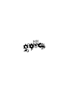 CC(=O)N1CCCC(Oc2cc(F)cc(NC(=O)Nc3ccc(C(F)(F)F)nc3)c2)C1